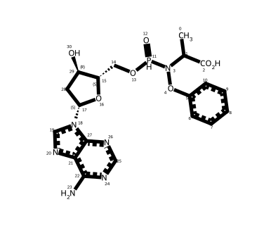 CC(C(=O)O)N(Oc1ccccc1)[PH](=O)OC[C@@H]1O[C@H](n2cnc3c(N)ncnc32)C[C@H]1O